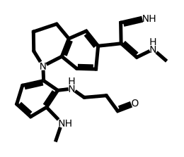 CN/C=C(\C=N)c1ccc2c(c1)CCCN2c1cccc(NC)c1NCCC=O